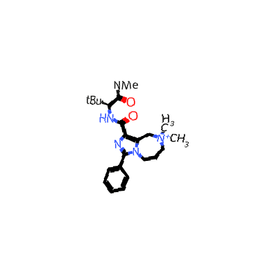 CNC(=O)[C@@H](NC(=O)c1nc(-c2ccccc2)n2c1C[N+](C)(C)CCC2)C(C)(C)C